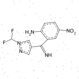 N=C(c1cnn(C(F)F)c1)c1cc([N+](=O)[O-])ccc1N